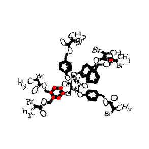 CC(Br)C(=O)OCc1ccc(ON2P(Oc3ccc(COC(=O)C(C)Br)cc3)N=P(Oc3ccc(COC(=O)C(C)Br)cc3)(Oc3ccc(COC(=O)C(C)Br)cc3)N(Oc3ccc(COC(=O)C(C)Br)cc3)P2Oc2ccc(COC(=O)C(C)Br)cc2)cc1